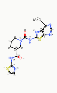 COc1ncnc2sc(NC(=O)N3CCC[C@@H](C(=O)Nc4nccs4)C3)nc12